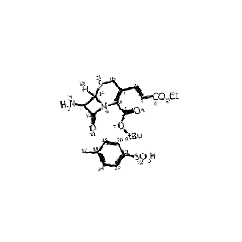 CCOC(=O)C=CC1=C(C(=O)OC(C)(C)C)N2C(=O)C(N)[C@@H]2SC1.Cc1ccc(S(=O)(=O)O)cc1